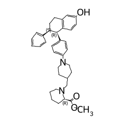 COC(=O)[C@H]1CCCCN1CC1CCN(c2ccc([C@@H]3c4ccc(O)cc4CC[C@@H]3c3ccccc3)cc2)CC1